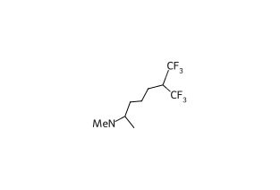 CNC(C)CCCC(C(F)(F)F)C(F)(F)F